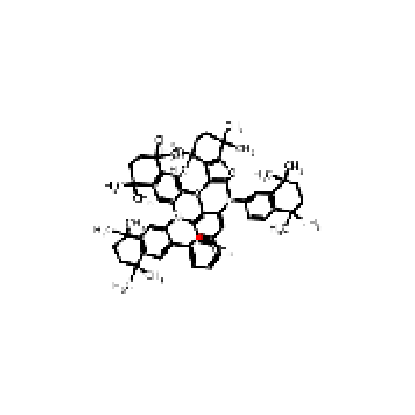 Cc1cc2c3c(c1)N(c1ccc4c(c1)C(C)(C)CCC4(C)C)c1oc4c(c1B3c1cc3c(cc1N2c1cc2c(cc1-c1ccccc1)C(C)(C)CCC2(C)C)C(C)(C)CCC3(C)C)C(C)(C)CCC4(C)C